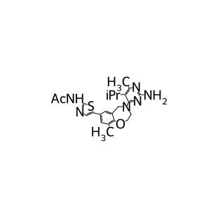 CC(=O)Nc1ncc(-c2cc(C)c3c(c2)CN(c2nc(N)nc(C)c2C(C)C)CCO3)s1